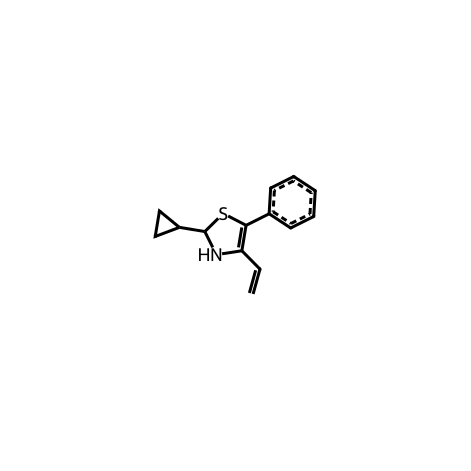 C=CC1=C(c2ccccc2)SC(C2CC2)N1